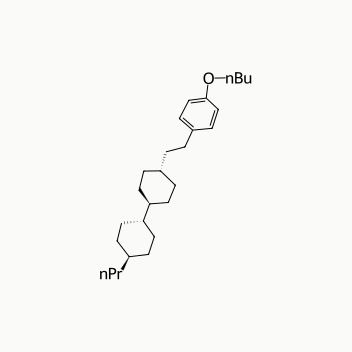 CCCCOc1ccc(CC[C@H]2CC[C@H]([C@H]3CC[C@H](CCC)CC3)CC2)cc1